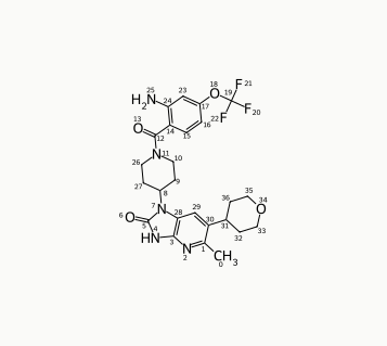 Cc1nc2[nH]c(=O)n(C3CCN(C(=O)c4ccc(OC(F)(F)F)cc4N)CC3)c2cc1C1CCOCC1